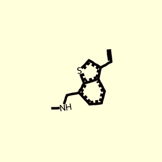 C=Cc1csc2c(CNC)cccc12